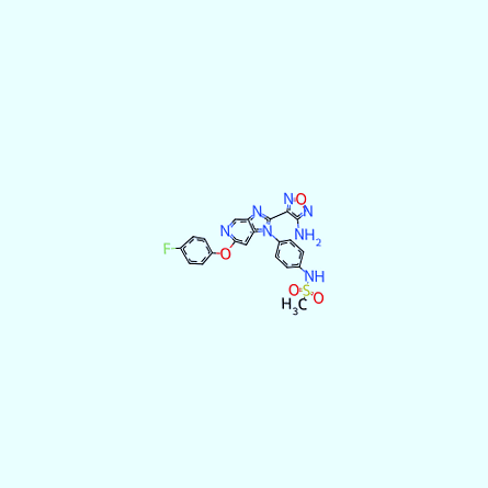 CS(=O)(=O)Nc1ccc(-n2c(-c3nonc3N)nc3cnc(Oc4ccc(F)cc4)cc32)cc1